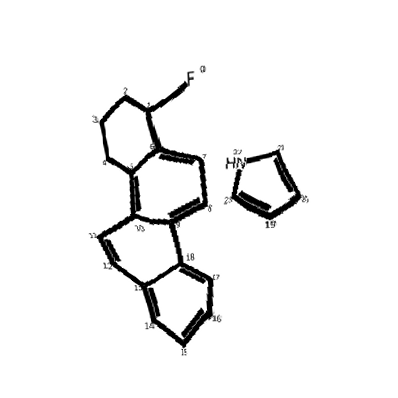 FC1CCCc2c1ccc1c2ccc2ccccc21.c1cc[nH]c1